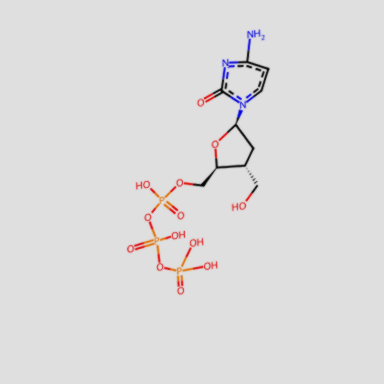 Nc1ccn([C@H]2C[C@H](CO)[C@@H](COP(=O)(O)OP(=O)(O)OP(=O)(O)O)O2)c(=O)n1